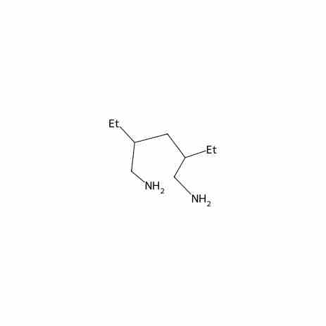 CCC(CN)CC(CC)CN